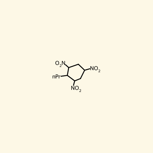 [CH2]CCC1C([N+](=O)[O-])CC([N+](=O)[O-])CC1[N+](=O)[O-]